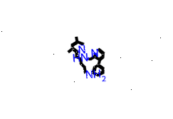 Cc1cnc(CC(CCCN)NCc2ncccc2-c2ccccc2)c(C)c1